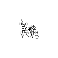 C=CCNC(=O)C(=O)C(CC(F)(F)F)NC(=O)[C@@H]1[C@@H]2[C@H](CN1C(=O)[C@@H](NC(=O)[C@@H](NC(=O)c1cnccn1)C1CCCCC1)C(C)(C)C)C2(C)C